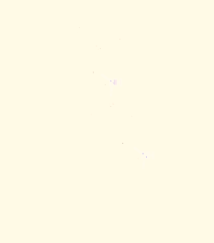 CCCNCCC(=O)Nc1ccccc1C.Cl